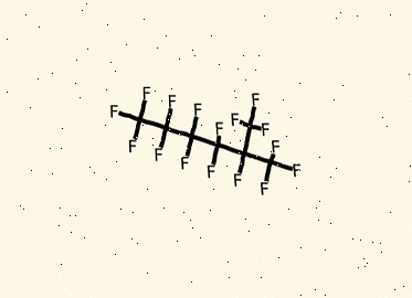 FC(F)(F)C(F)(F)C(F)(F)C(F)(F)C(F)(C(F)(F)F)C(F)(F)F